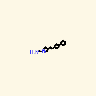 NCC[n+]1ccc(/C=C/c2ccc(-c3ccccc3)cc2)cc1